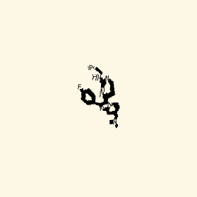 CC(C)CNc1nccc(-c2c(-c3ccc(F)cc3)nc3cc(CN(C)C)ccn23)n1